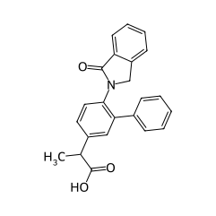 CC(C(=O)O)c1ccc(N2Cc3ccccc3C2=O)c(-c2ccccc2)c1